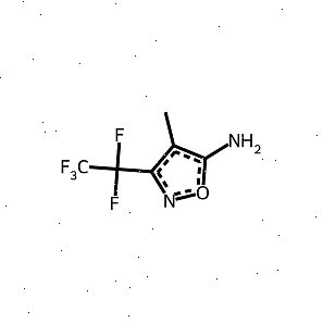 Cc1c(C(F)(F)C(F)(F)F)noc1N